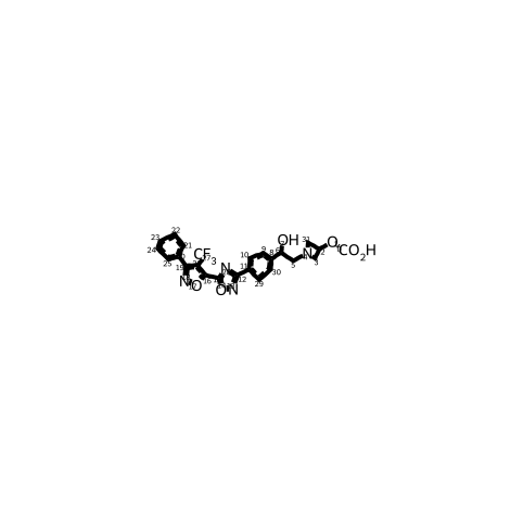 O=C(O)OC1CN(CC(O)c2ccc(-c3noc(-c4onc(-c5ccccc5)c4C(F)(F)F)n3)cc2)C1